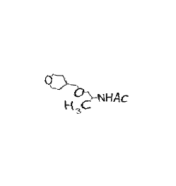 CC(=O)NC(C)COCC1CCOCC1